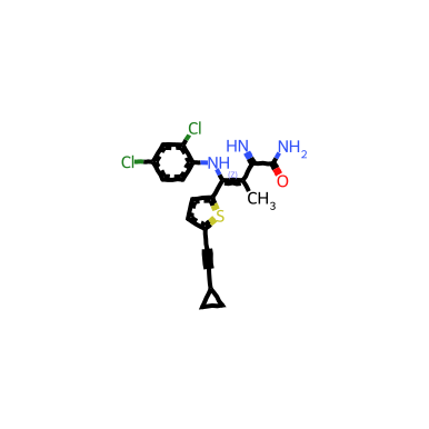 C/C(C(=N)C(N)=O)=C(/Nc1ccc(Cl)cc1Cl)c1ccc(C#CC2CC2)s1